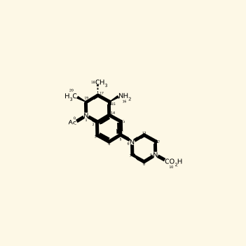 CC(=O)N1c2ccc(N3CCN(C(=O)O)CC3)cc2[C@H](N)[C@@H](C)[C@@H]1C